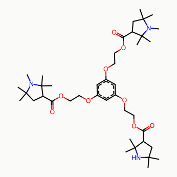 CN1C(C)(C)CC(C(=O)OCCOc2cc(OCCOC(=O)C3CC(C)(C)NC3(C)C)cc(OCCOC(=O)C3CC(C)(C)N(C)C3(C)C)c2)C1(C)C